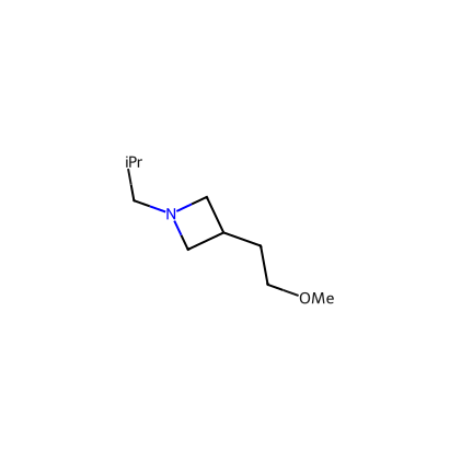 COCCC1CN(CC(C)C)C1